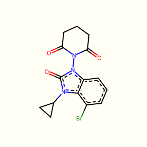 O=C1CCCC(=O)N1n1c(=O)n(C2CC2)c2c(Br)cccc21